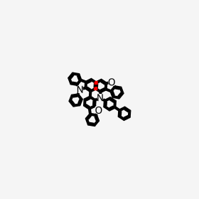 c1ccc(-c2ccc(N(c3c(-c4cccc5c6ccccc6n(-c6ccccc6)c45)ccc4c3oc3ccccc34)c3cccc4oc5ccccc5c34)cc2)cc1